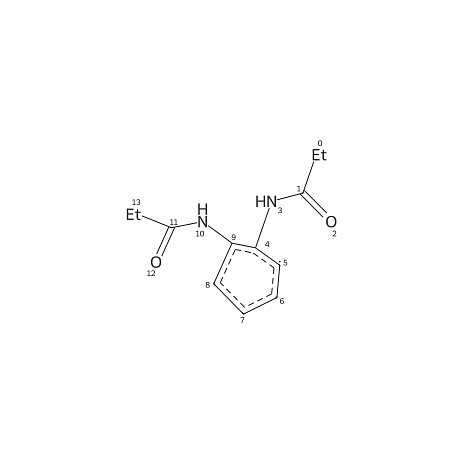 CCC(=O)Nc1[c]cccc1NC(=O)CC